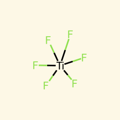 [F][Ti]([F])([F])([F])([F])[F]